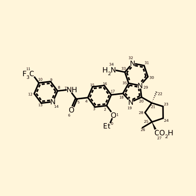 CCOc1cc(C(=O)Nc2cc(C(F)(F)F)ccn2)ccc1-c1nc([C@@]2(C)CC[C@@](C)(C(=O)O)C2)n2ccnc(N)c12